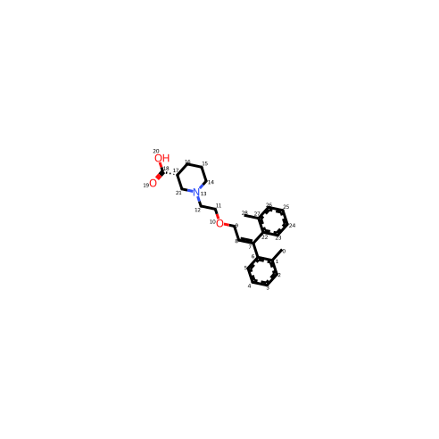 Cc1ccccc1C(=CCOCCN1CCC[C@@H](C(=O)O)C1)c1ccccc1C